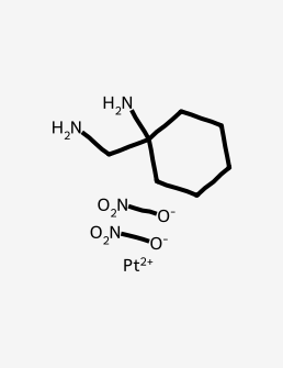 NCC1(N)CCCCC1.O=[N+]([O-])[O-].O=[N+]([O-])[O-].[Pt+2]